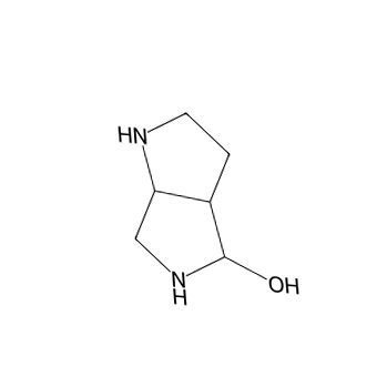 OC1NCC2NCCC12